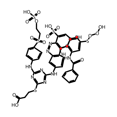 O=C(O)CCSc1nc(Nc2ccc(S(=O)(=O)CCOS(=O)(=O)O)cc2)nc(Nc2ccc(SOOO)c(N=Nc3c(S(=O)(=O)O)cc4cc(SOOO)cc(NC(=O)c5ccccc5)c4c3O)c2)n1